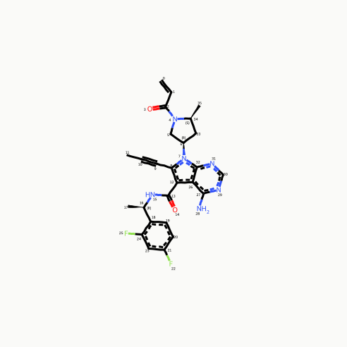 C=CC(=O)N1C[C@H](n2c(C#CC)c(C(=O)N[C@H](C)c3ccc(F)cc3F)c3c(N)ncnc32)C[C@@H]1C